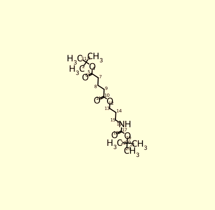 CC(C)(C)OC(=O)CCCC(=O)OCCCNC(=O)OC(C)(C)C